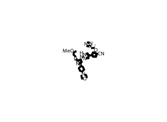 COC(C)CCOc1nn([C@H]2CC[C@H](N3CCOCC3)CC2)cc1Nc1ncc(-c2ccc(C#N)c(O[C@@H](C)Cn3cncn3)c2)cn1